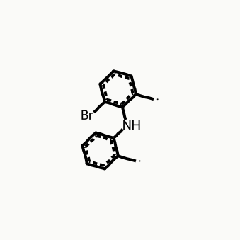 [CH2]c1ccccc1Nc1c([CH2])cccc1Br